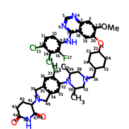 COc1cc2ncnc(Nc3ccc(Cl)c(Cl)c3F)c2cc1OC1CCC(CN2CC(C)N(c3cc4c(cc3F)CN(C3CCC(=O)NC3=O)C4)C(C)C2)CC1